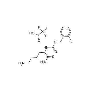 NCCCCC(NC(=O)OCc1ccccc1Cl)C(N)=O.O=C(O)C(F)(F)F